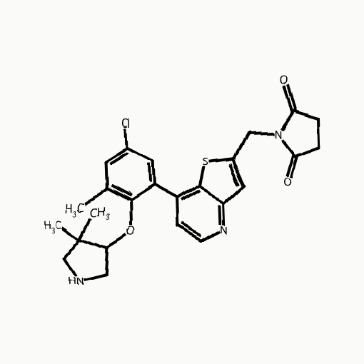 Cc1cc(Cl)cc(-c2ccnc3cc(CN4C(=O)CCC4=O)sc23)c1OC1CNCC1(C)C